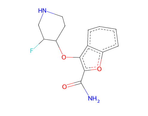 NC(=O)c1oc2ccccc2c1OC1CCNCC1F